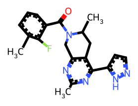 Cc1nc2c(c(-c3ccn[nH]3)n1)CC(C)N(C(=O)c1cccc(C)c1F)C2